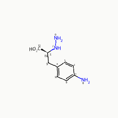 NN[C@@H](Cc1ccc(N)cc1)C(=O)O